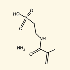 C=C(C)C(=O)NCCS(=O)(=O)O.N